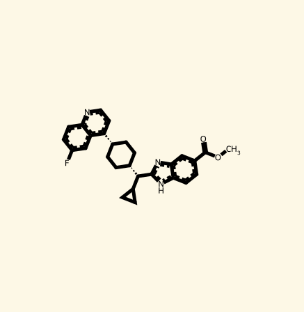 COC(=O)c1ccc2[nH]c(C(C3CC3)[C@H]3CC[C@@H](c4ccnc5ccc(F)cc54)CC3)nc2c1